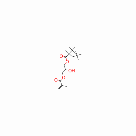 C=C(C)C(=O)OCC(O)COC(=O)C(C)(CC(C)(C)C)C(C)(C)C